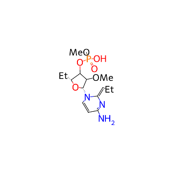 CCC=C1N=C(N)C=CN1[C@@H]1O[C@H](CC)C(OP(=O)(O)OC)C1OC